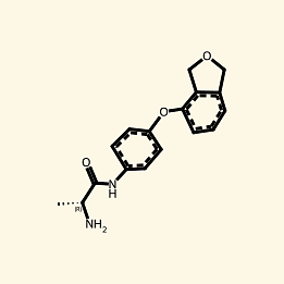 C[C@@H](N)C(=O)Nc1ccc(Oc2cccc3c2COC3)cc1